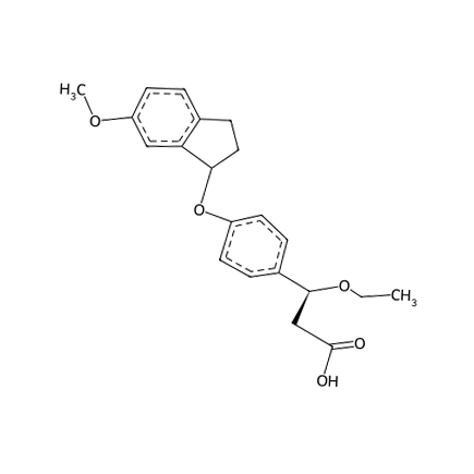 CCO[C@@H](CC(=O)O)c1ccc(OC2CCc3ccc(OC)cc32)cc1